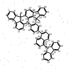 CC1(C)c2ccccc2-c2cccc(N(c3ccc(-c4cccc5c(-n6c7ccccc7c7ccccc76)cccc45)cc3)c3cccc4c3C(C)(C)c3ccccc3-4)c21